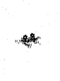 CCNCc1nc2c(N)nc3ccccc3c2n1CC(C)(O)O[P@](=O)(N[C@@H](C)C(=O)OC(C)C)Oc1ccccc1